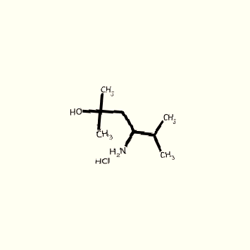 CC(C)C(N)CC(C)(C)O.Cl